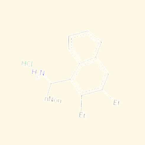 CCCCCCCCCC(N)c1c(CC)c(CC)cc2ccccc12.Cl